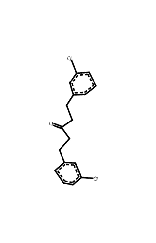 O=C(CCc1cccc(Cl)c1)CCc1cccc(Cl)c1